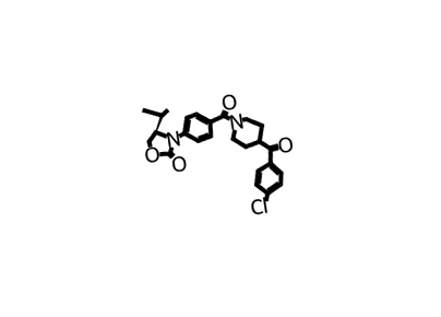 CC(C)[C@@H]1COC(=O)N1c1ccc(C(=O)N2CCC(C(=O)c3ccc(Cl)cc3)CC2)cc1